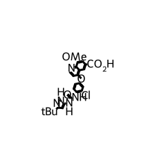 COc1cc2nccc(Oc3ccc(NC(=O)Nc4cc(C(C)(C)C)n[nH]4)c(Cl)c3)c2cc1C(=O)O